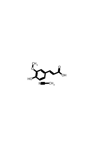 CC#N.COc1cc(C=CC(=O)O)ccc1O